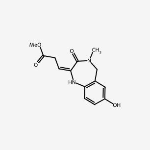 COC(=O)CC=C1Nc2ccc(O)cc2CN(C)C1=O